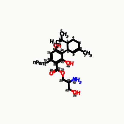 C=C(C)[C@H]1CCC(C)=C[C@H]1c1c(O)cc(CCCCC)c(C(=O)OCC(N)CO)c1O